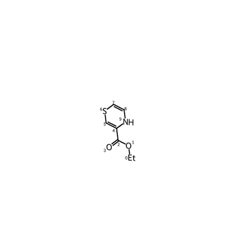 CCOC(=O)C1=CSC=CN1